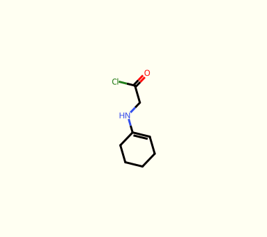 O=C(Cl)CNC1=CCCCC1